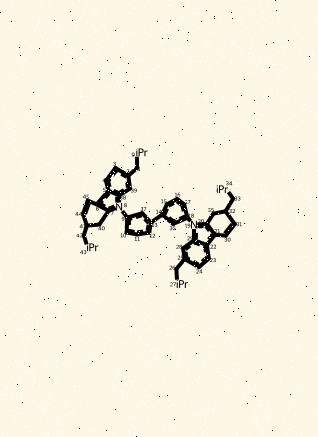 CC(C)Cc1ccc2c3c(n(-c4cccc(-c5cccc(-n6c7c(c8ccc(CC(C)C)cc86)C=CC(CC(C)C)C7)c5)c4)c2c1)CC(CC(C)C)C=C3